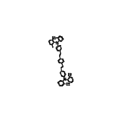 CCc1ccccc1N(c1ccc(C=Cc2ccc(C=Cc3ccc(N(c4ccccc4CC)c4ccccc4CC)cc3)cc2)cc1)c1ccccc1C